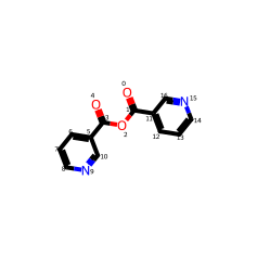 O=C(OC(=O)c1cccnc1)c1cccnc1